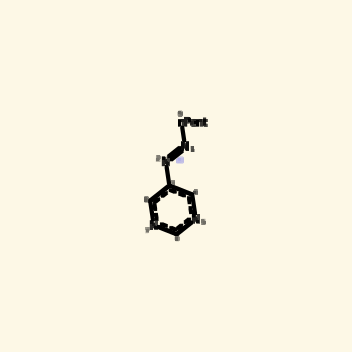 CCCCC/N=N/c1cncnc1